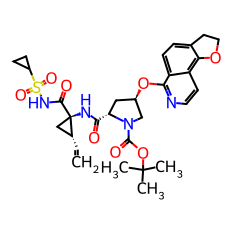 C=C[C@@H]1C[C@]1(NC(=O)[C@@H]1C[C@@H](Oc2nccc3c4c(ccc23)CCO4)CN1C(=O)OC(C)(C)C)C(=O)NS(=O)(=O)C1CC1